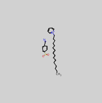 CCCCCCCCCCCCCCCC[n+]1ccccc1.N#Cc1ccc(S(=O)[O-])cc1